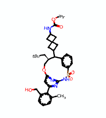 Cc1cccc(CO)c1-c1cc2nc(n1)NS(=O)(=O)c1cccc(c1)C(C1CC3(CC(NC(=O)OC(C)C)C3)C1)[C@H](CC(C)(C)C)CO2